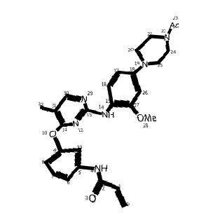 C=CC(=O)Nc1cccc(Oc2nc(Nc3ccc(N4CCN(C(C)=O)CC4)cc3OC)ncc2C)c1